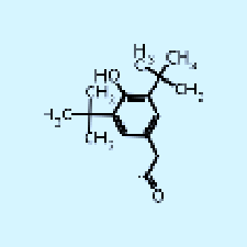 CC(C)(C)c1cc(C[C]=O)cc(C(C)(C)C)c1O